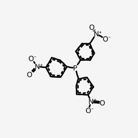 O=[N+]([O-])c1ccc(P(c2ccc([N+](=O)[O-])cc2)c2ccc([N+](=O)[O-])cc2)cc1